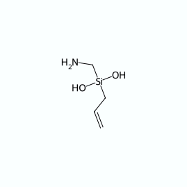 C=CC[Si](O)(O)CN